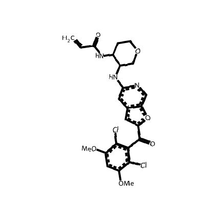 C=CC(=O)NC1CCOCC1Nc1cc2cc(C(=O)c3c(Cl)c(OC)cc(OC)c3Cl)oc2cn1